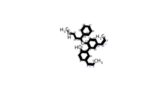 C/C=C\c1ccc(O)c(-c2cc(/C=C\C)ccc2OC(CCNC)c2ccccc2)c1